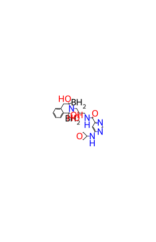 BC1(O)Cc2ccccc2C(B)(O)N1CC(O)CNC(=O)c1cc(NC2COC2)ncn1